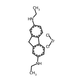 CCNc1ccc2c(c1)[CH]c1cc(NCC)ccc1-2.[Cl][Zr][Cl]